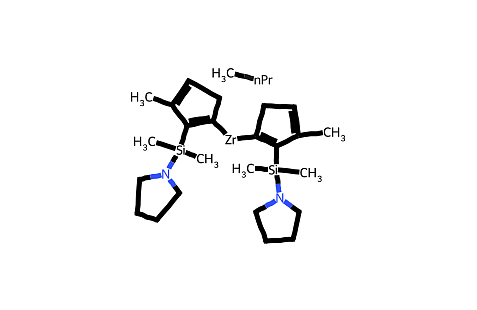 CC1=CC[C]([Zr][C]2=C([Si](C)(C)N3CCCC3)C(C)=CC2)=C1[Si](C)(C)N1CCCC1.CCCC